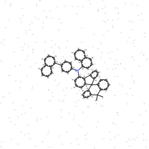 CC1(C)c2ccccc2C2(c3ccccc3-c3c(N(c4ccc(-c5cccc6ccccc56)cc4)c4cccc5ccccc45)cccc32)c2ccccc21